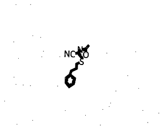 Cc1nc(C#N)c(SCCCc2ccccc2)o1